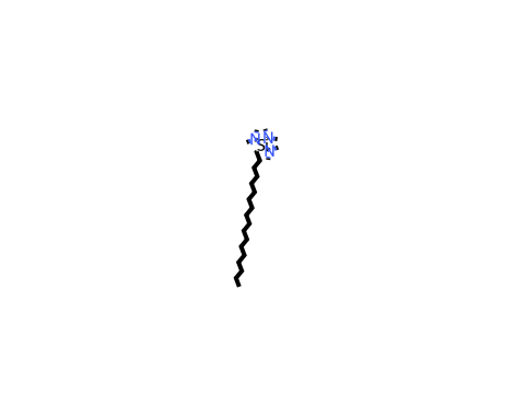 CCCCCCCCCCCCCCCCCC[Si](N(C)C)(N(C)C)N(C)C